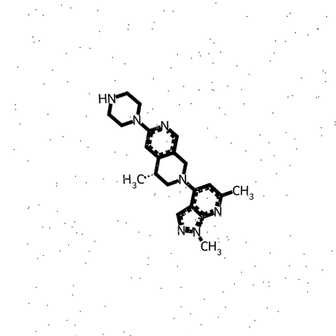 Cc1cc(N2Cc3cnc(N4CCNCC4)cc3[C@@H](C)C2)c2cnn(C)c2n1